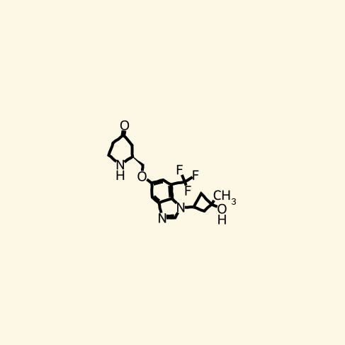 CC1(O)CC(n2cnc3cc(OC[C@@H]4CC(=O)CCN4)cc(C(F)(F)F)c32)C1